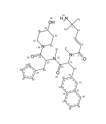 CN(C(=O)/C=C/CC(C)(C)N)C(Cc1ccc2ccccc2c1)C(=O)N(C)C(Cc1cccs1)C(=O)N1CCC(O)CC1